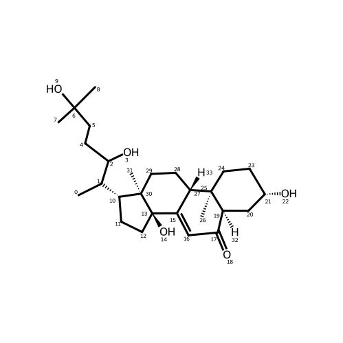 CC(C(O)CCC(C)(C)O)[C@H]1CC[C@@]2(O)C3=CC(=O)[C@@H]4C[C@@H](O)CC[C@]4(C)[C@H]3CC[C@]12C